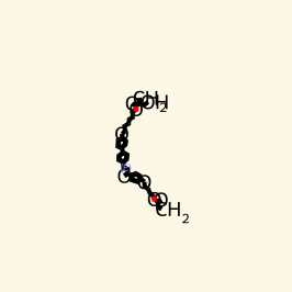 C=CC(=O)OCCCCOc1ccc(C(=O)/C=C/c2ccc(-c3ccc(OCCCCCCOC(=O)C(=C)CO)cc3)cc2)cc1